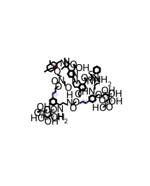 COCCN(CCOC12CC3(C)CC(C)(CC(Cn4ncc(-c5ccc(N6CCc7c(OC)ccc(C(=O)Nc8nc9ccccc9s8)c7C6)nc5C(=O)O)c4C)(C3)C1)C2)C(=O)OC/C=C/c1ccc(O[C@@H]2O[C@H](C(=O)O)[C@@H](O)[C@H](O)[C@H]2O)c(C(N)CCNC(=O)OC/C=C/c2ccc(O[C@@H]3O[C@H](C(=O)O)[C@@H](O)[C@H](O)[C@H]3O)c(NCCCN)c2)c1